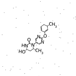 CC1C=C(Oc2ncc(N3C(=O)NC(O)CC3C)cn2)C=CC1